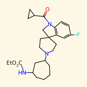 CCOC(=O)NC1CCCCC(N2CCC3(CC2)CN(C(=O)C2CC2)c2ccc(F)cc23)C1